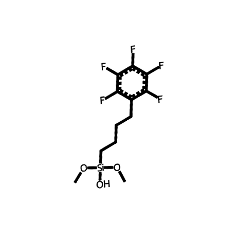 CO[Si](O)(CCCCc1c(F)c(F)c(F)c(F)c1F)OC